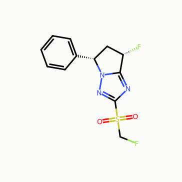 O=S(=O)(CF)c1nc2n(n1)[C@H](c1ccccc1)C[C@@H]2F